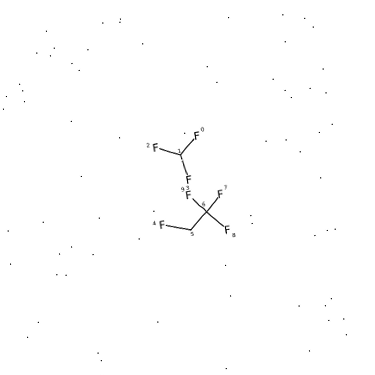 FC(F)F.FCC(F)(F)F